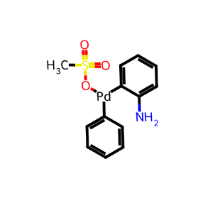 CS(=O)(=O)[O][Pd]([c]1ccccc1)[c]1ccccc1N